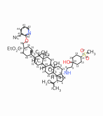 C=C(C)[C@@H]1CC[C@]2(NCCC3(O)CCC(S(C)(=O)=O)CC3)CC[C@]3(C)[C@H](CC[C@@H]4[C@@]5(C)CC=C(C6=CC[C@@](COc7ncccc7C#N)(C(=O)OCC)CC6)C(C)(C)[C@@H]5CC[C@]43C)[C@@H]12